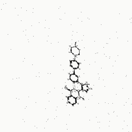 CN1CCN(c2ccc(-c3cccc(-c4[nH]ncc4C4NC(=O)c5ccccc5N4C)c3)cc2)CC1